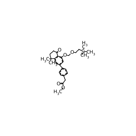 COC(=O)Cc1ccc(-c2cc(OCOCC[Si](C)(C)C)c3c(c2)C(C)(C)CCC3=O)cc1